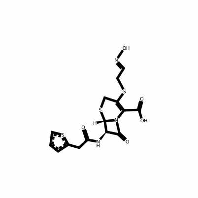 O=C(Cc1cccs1)N[C@@H]1C(=O)N2C(C(=O)O)=C(SCC=NO)CS[C@@H]12